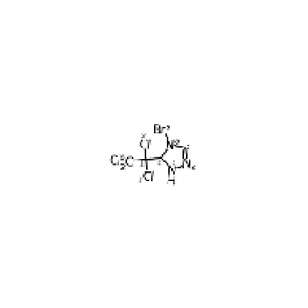 ClC(Cl)(Cl)C(Cl)(Cl)C1NN=CN1Br